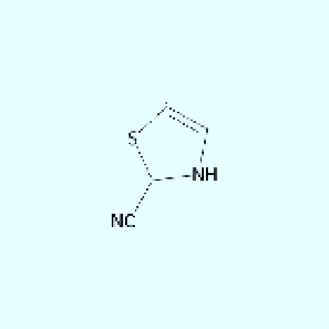 N#CC1NC=[C]S1